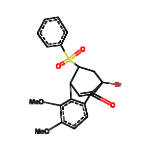 COc1ccc2c(c1OC)C1C=CC(Br)(CC1S(=O)(=O)c1ccccc1)C2=O